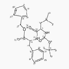 CC(C)CC(NC(=O)OC(C)(C)C)C(=O)NC(Cc1ccccc1)C(=O)OCc1ccccc1